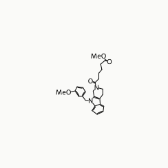 COC(=O)CCCCC(=O)N1CCc2c(n(Cc3cccc(OC)c3)c3ccccc23)C1